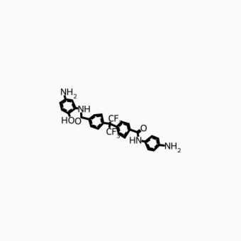 Nc1ccc(NC(=O)c2ccc(C(c3ccc(C(=O)Nc4cc(N)ccc4O)cc3)(C(F)(F)F)C(F)(F)F)cc2)cc1